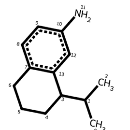 CC(C)C1CCCc2ccc(N)cc21